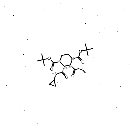 COC(=O)[C@H]1[C@H](C(=O)NC2CC2)N(C(=O)OC(C)(C)C)CCN1C(=O)OC(C)(C)C